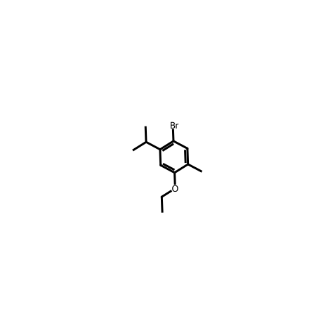 CCOc1cc(C(C)C)c(Br)cc1C